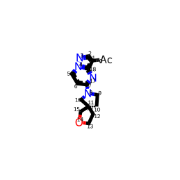 CC(=O)c1cnn2ccc(N3CC[C@@]4(CCOC4)C3)nc12